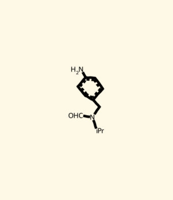 CC(C)N(C=O)Cc1ccc(N)cc1